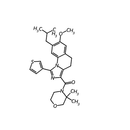 COc1cc2c(cc1CC(C)C)-n1c(-c3ccsc3)nc(C(=O)N3CCOCC3(C)C)c1CC2